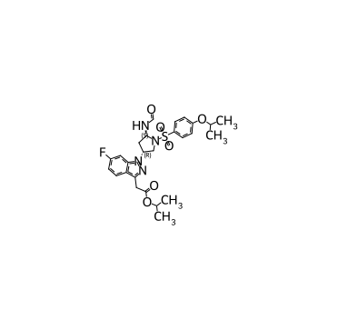 CC(C)OC(=O)Cc1nn([C@@H]2C[C@@H](NC=O)N(S(=O)(=O)c3ccc(OC(C)C)cc3)C2)c2cc(F)ccc12